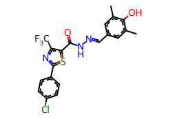 Cc1cc(/C=N/NC(=O)c2sc(-c3ccc(Cl)cc3)nc2C(F)(F)F)cc(C)c1O